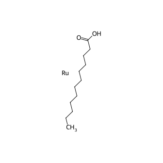 CCCCCCCCCCCC(=O)O.[Ru]